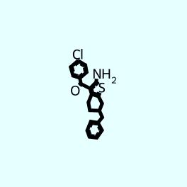 Nc1sc2c(c1C(=O)c1ccc(Cl)cc1)CCC(Cc1ccccc1)C2